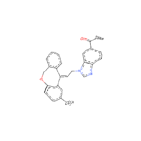 COC(=O)c1ccc2ncn(C/C=C3\c4ccccc4COc4ccc(C(=O)O)cc43)c2c1